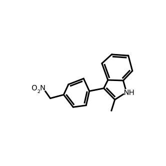 Cc1[nH]c2ccccc2c1-c1ccc(C[N+](=O)[O-])cc1